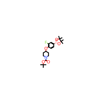 CC(C)(C)OC(=O)N1CCC(Oc2ccc(B3OC(C)(C)C(C)(C)O3)cc2F)CC1